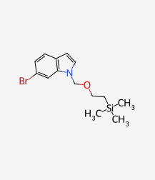 C[Si](C)(C)CCOCn1ccc2ccc(Br)cc21